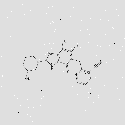 Cn1c(=O)n(Cc2ncccc2C#N)c(=O)c2[nH]c(N3CCC[C@@H](N)C3)nc21